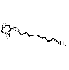 C1COCN1.NCCCCCCCCO